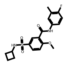 COc1ccc(S(=O)(=O)NC2CCC2)cc1C(=O)Nc1ccc(F)c(C)c1